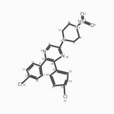 O=[SH](=O)N1CCN(c2cnc(-c3ccc(Cl)cc3)c(-c3ccc(Cl)cc3)n2)CC1